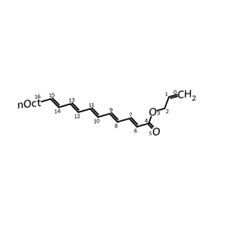 C=CCOC(=O)C=CC=CC=CC=CC=CCCCCCCCC